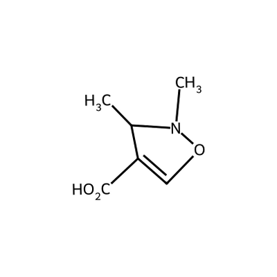 CC1C(C(=O)O)=CON1C